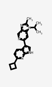 Cc1nc2cnc(-c3c[nH]c4nc(C5CCC5)ccc34)cc2n1C(C)C